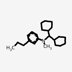 CCCc1cccc(N(C)C(C2CCCCC2)C2CCCCC2)c1